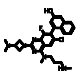 CNCCCN(C)c1nc(N2CC(N(C)C)C2)nc2c(F)c(-c3cc(O)cc4ccccc34)c(Cl)cc12